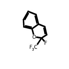 FC(F)(F)C1(F)C=Cc2ccccc2O1